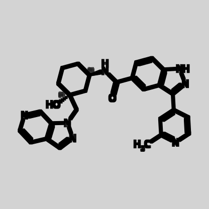 Cc1cc(-c2n[nH]c3ccc(C(=O)N[C@@H]4CCC[C@](O)(Cn5ncc6ccncc65)C4)cc23)ccn1